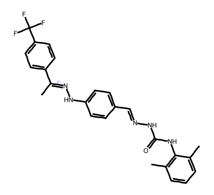 C/C(=N\Nc1ccc(C=NNC(=O)Nc2c(C)cccc2C)cc1)c1ccc(C(F)(F)F)cc1